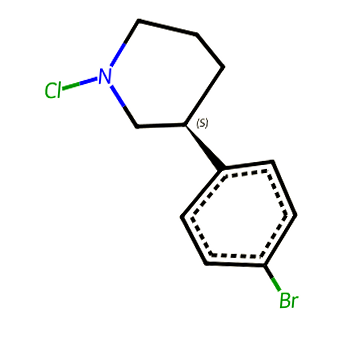 ClN1CCC[C@@H](c2ccc(Br)cc2)C1